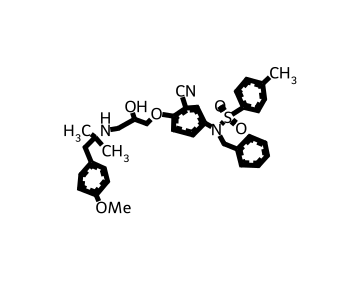 COc1ccc(CC(C)(C)NCC(O)COc2ccc(N(Cc3ccccc3)S(=O)(=O)c3ccc(C)cc3)cc2C#N)cc1